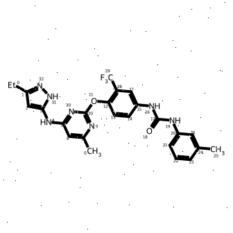 CCc1cc(Nc2cc(C)nc(Oc3ccc(NC(=O)Nc4cccc(C)c4)cc3C(F)(F)F)n2)[nH]n1